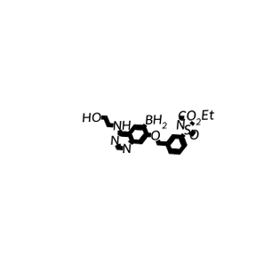 Bc1cc2c(NCCO)ncnc2cc1OCc1cccc(S(C)(=O)=NC(=O)OCC)c1